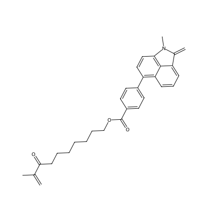 C=C(C)C(=O)CCCCCCCOC(=O)c1ccc(-c2ccc3c4c2cccc4c(=C)n3C)cc1